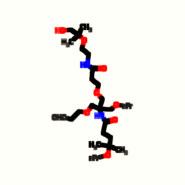 CCCOCC(COCCC=O)(COCCC(=O)NCCOC(C)(C)CO)NC(=O)CCC(C)(C)OCCC